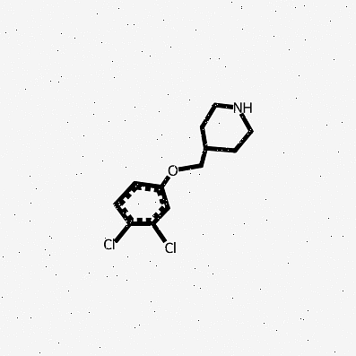 Clc1ccc(OCC2CCNCC2)cc1Cl